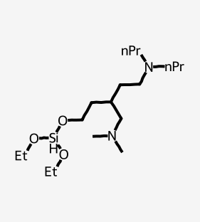 CCCN(CCC)CCC(CCO[SiH](OCC)OCC)CN(C)C